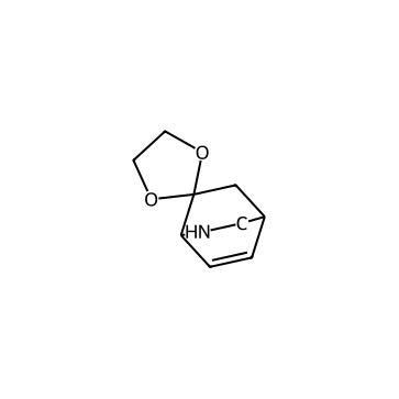 C1=CC2NCC1CC21OCCO1